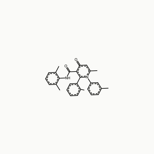 Cc1cccc(-n2c(C)cc(=O)c(C(=O)Nc3c(C)cccc3C)c2-c2ccccc2C)c1